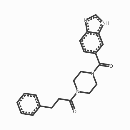 O=C(CCc1ccccc1)N1CCN(C(=O)c2ccc3nc[nH]c3c2)CC1